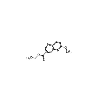 CCOC(=O)c1cnc2ccc(OC)nc2c1